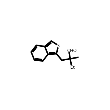 CCC(C)(C=O)Cc1scc2ccccc12